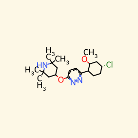 COC1C[C@H](Cl)CCC1c1ccc(OC2CC(C)(C)NC(C)(C)C2)nn1